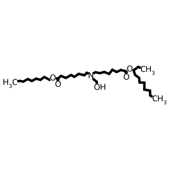 CCCCCCCCCOC(=O)CCCCCCCN(CCO)CCCCCCCC(=O)OC(CC)CCCCCCCC